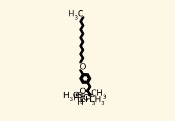 CCCCCCCCCCCCCOCc1ccc(CC(O[SiH](C)C)C(C)(C)C)cc1